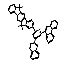 CC1(C)c2ccccc2-c2cc3c(cc21)-c1ccc(-c2nc(-c4ccc5cccnc5c4)cc(-c4cc5ccccc5c5ccccc45)n2)cc1C3(C)C